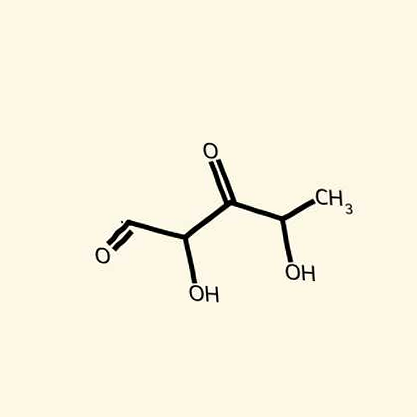 CC(O)C(=O)C(O)[C]=O